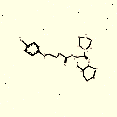 O=C(NCCNc1ccc(F)cc1)O[C@@H](CC1CCCCC1)C(=O)N1CCOCC1